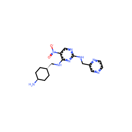 N[C@H]1CC[C@H](CNc2nc(NCc3cnccn3)ncc2[N+](=O)[O-])CC1